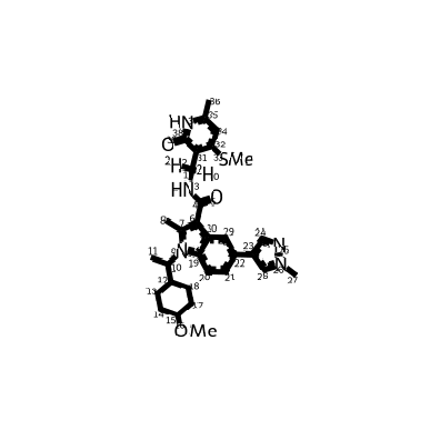 [2H]C([2H])(NC(=O)c1c(C)n(C(C)C2CCC(OC)CC2)c2ccc(-c3cnn(C)c3)cc12)c1c(SC)cc(C)[nH]c1=O